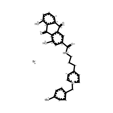 CC(C)(C)c1ccc(C[n+]2ccc(CCCNC(=O)c3cc(O)c4c(c3)C(=O)c3cccc(O)c3C4=O)cc2)cc1.[Br-]